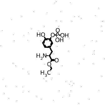 CCOC(=O)[C@@H](N)Cc1ccc(O)c(OP(=O)(O)O)c1